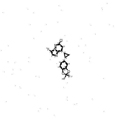 Fc1cnc2c([C@@H]3C[C@@H]3c3ccc4c(c3)OC(F)(F)O4)cc(Cl)nn12